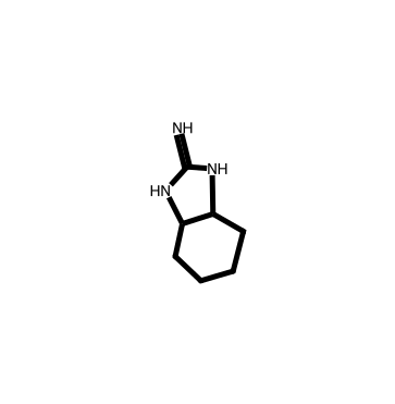 N=C1NC2CCCCC2N1